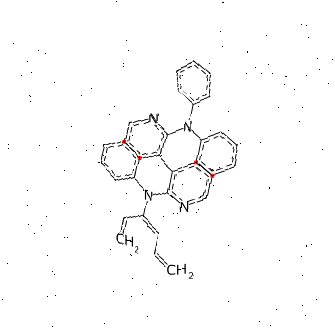 C=C/C=C(\C=C)N(c1ccccc1)c1ncccc1-c1cccnc1N(c1ccccc1)c1ccccc1